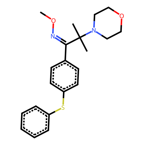 CON=C(c1ccc(Sc2ccccc2)cc1)C(C)(C)N1CCOCC1